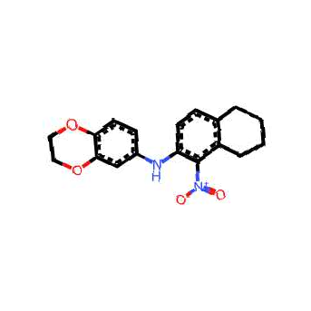 O=[N+]([O-])c1c(Nc2ccc3c(c2)OCCO3)ccc2c1CCCC2